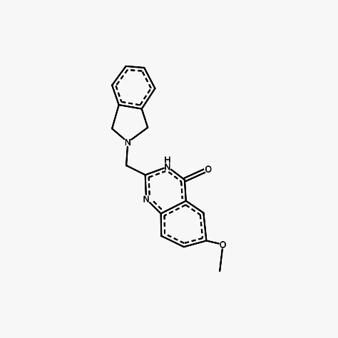 COc1ccc2nc(CN3Cc4ccccc4C3)[nH]c(=O)c2c1